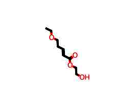 CCOCCC=CC(=O)OCCO